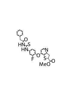 COC(=O)C1Cc2nccc(Oc3ccc(NC(=S)NC(=O)Cc4ccccc4)cc3F)c2S1